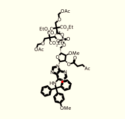 CCOC(=O)C(COCOC(C)=O)(COP(=O)(OC[C@H]1O[C@@H](n2cnc3c(NC(c4ccccc4)(c4ccccc4)c4ccc(OC)cc4)ncnc32)[C@H](OC(=O)CCC(C)=O)[C@@H]1OC)OCC(COCOC(C)=O)(C(=O)OCC)C(=O)OCC)C(=O)OCC